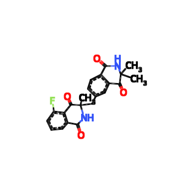 CC1(C)NC(=O)c2ccc(CC3(C)NC(=O)c4cccc(F)c4C3=O)cc2C1=O